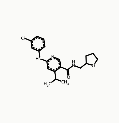 CC(C)c1cc(Nc2cccc(Cl)c2)ncc1C(=O)NCC1CCCO1